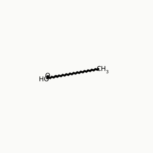 CCCCCCCCCCCCCCCCCCCCCCCC=CCCCC(=O)O